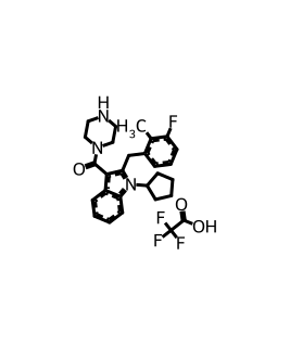 Cc1c(F)cccc1Cc1c(C(=O)N2CCNCC2)c2ccccc2n1C1CCCC1.O=C(O)C(F)(F)F